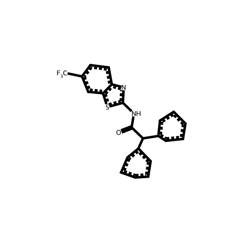 O=C(Nc1nc2ccc(C(F)(F)F)cc2s1)C(c1ccccc1)c1ccccc1